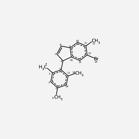 Cc1cc(C)c(C2C=Cc3cc(C)c(Br)cc32)c(C)c1